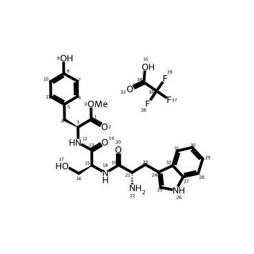 COC(=O)[C@H](Cc1ccc(O)cc1)NC(=O)[C@H](CO)NC(=O)[C@@H](N)Cc1c[nH]c2ccccc12.O=C(O)C(F)(F)F